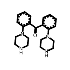 O=C(c1ccccc1N1CCNCC1)c1ccccc1N1CCNCC1